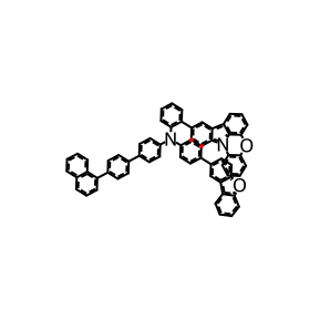 c1ccc2c(c1)Oc1cccc3c4cc(-c5ccccc5N(c5ccc(-c6ccc(-c7cccc8ccccc78)cc6)cc5)c5ccc(-c6ccc7oc8ccccc8c7c6)cc5)ccc4n-2c13